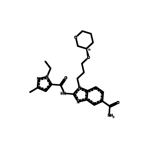 CCn1nc(C)cc1C(=O)Nc1nc2cc(C(N)=O)ccc2n1CCCO[C@@H]1CCCOC1